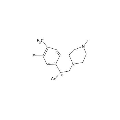 CC(=O)[C@@H](CN1CCN(C)CC1)c1ccc(C(F)(F)F)c(F)c1